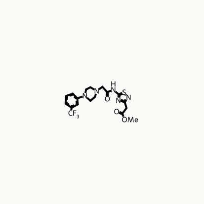 COC(=O)Cc1nsc(NC(=O)CN2CCN(c3cccc(C(F)(F)F)c3)CC2)n1